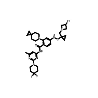 Cc1cc(NC(=O)c2ccc(NSC3(CN4CC(O)C4)CC3)cc2N2CCC3(CC2)CC3)nc(N2CCC(F)(F)CC2)n1